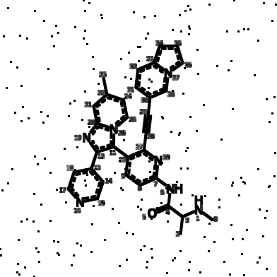 CNC(C)C(=O)Nc1ccc(-c2c(-c3ccncc3)nc3cc(C)ccn23)c(C#Cc2ccc3cccn3c2)n1